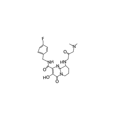 CN(C)CC(=O)CNC1CCCn2c1nc(C(=O)NCc1ccc(F)cc1)c(O)c2=O